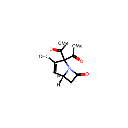 COC(=O)C1(C(=O)OC)C(C=O)=C[C@H]2CC(=O)N21